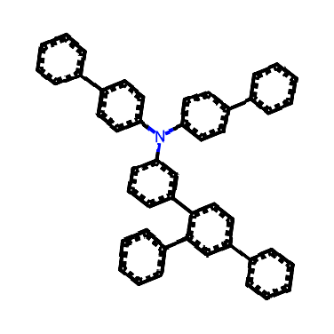 c1ccc(-c2ccc(N(c3ccc(-c4ccccc4)cc3)c3cccc(-c4ccc(-c5ccccc5)cc4-c4ccccc4)c3)cc2)cc1